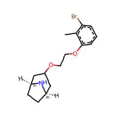 Cc1c(Br)cccc1OCCOC1C[C@H]2CC[C@@H](C1)N2